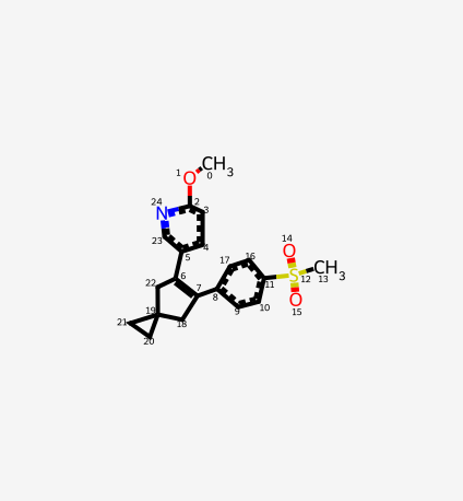 COc1ccc(C2=C(c3ccc(S(C)(=O)=O)cc3)CC3(CC3)C2)cn1